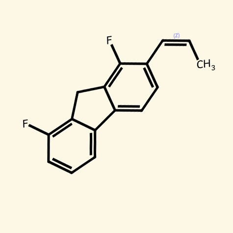 C/C=C\c1ccc2c(c1F)Cc1c(F)cccc1-2